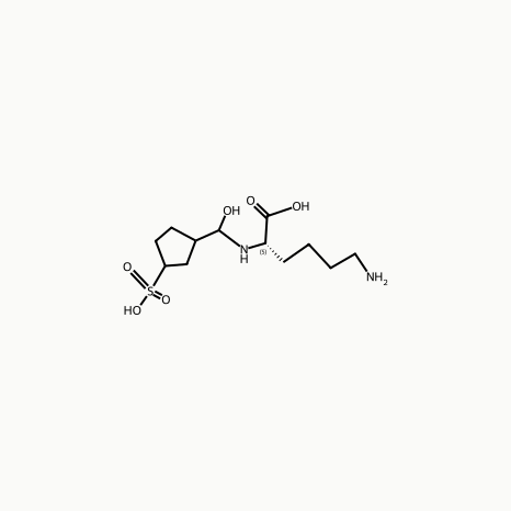 NCCCC[C@H](NC(O)C1CCC(S(=O)(=O)O)C1)C(=O)O